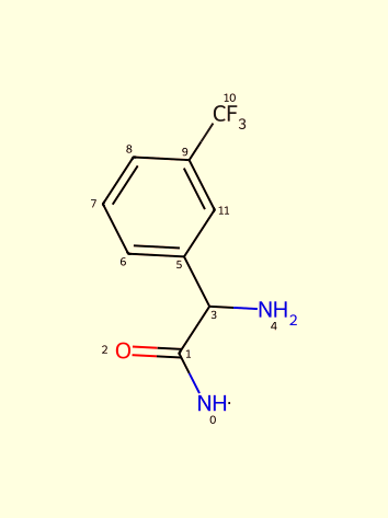 [NH]C(=O)C(N)c1cccc(C(F)(F)F)c1